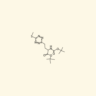 CSc1nnc(CCC(NC(=O)OC(C)(C)C)C(=O)OC(C)(C)C)nn1